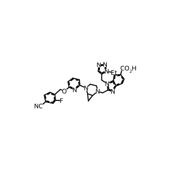 CCn1nncc1Cn1c(CN2CCN(c3cccc(OCc4ccc(C#N)cc4F)n3)C3CC32)nc2ccc(C(=O)O)cc21